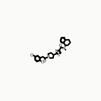 CN(C(=O)c1csc(C2CCN(C(=O)Cc3cc(Cl)ccc3Cl)CC2)n1)[C@@H]1CCCc2ccccc21